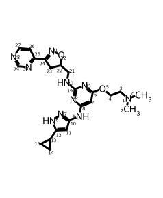 CN(C)CCOc1cc(Nc2cc(C3CC3)[nH]n2)nc(NCC2CC(c3ccncn3)=NO2)n1